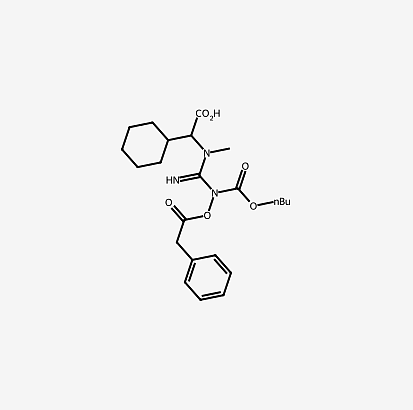 CCCCOC(=O)N(OC(=O)Cc1ccccc1)C(=N)N(C)C(C(=O)O)C1CCCCC1